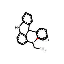 CCN(CC)c1cccc2c1C(c1ccccc1)c1ccccc1N2